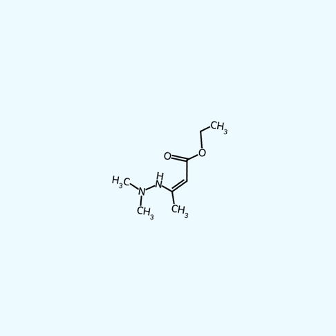 CCOC(=O)/C=C(/C)NN(C)C